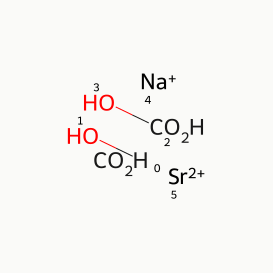 O=C(O)O.O=C(O)O.[Na+].[Sr+2]